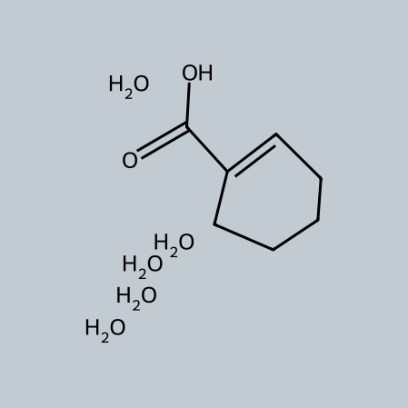 O.O.O.O.O.O=C(O)C1=CCCCC1